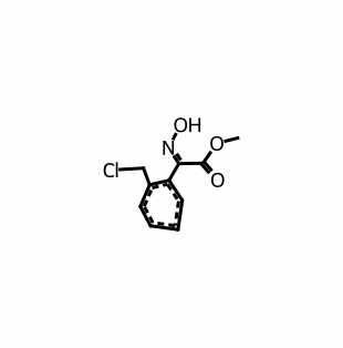 COC(=O)/C(=N\O)c1ccccc1CCl